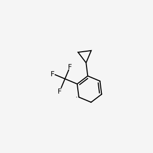 FC(F)(F)C1=C(C2CC2)C=CC[CH]1